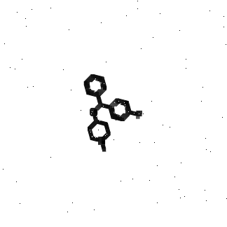 CN1CCC(OC(c2ccccc2)c2ccc(F)cc2)CC1